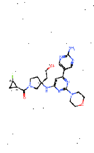 Nc1ncc(-c2cc(N[C@@]3(CCO)CCN(C(=O)[C@H]4C[C@H]4F)C3)nc(N3CCOCC3)n2)cn1